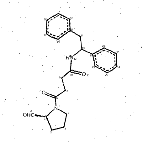 O=C[C@@H]1CCCN1C(=O)CCC(=O)NC(Cc1ccccc1)c1ccccc1